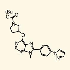 Cn1c(-c2ccc(-n3cccn3)cc2)nc2c(OC3CCN(C(=O)OC(C)(C)C)C3)ncnc21